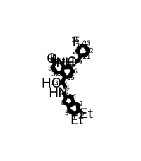 CCc1cc2c(cc1CC)CC(NC[C@H](O)c1ccc(OCc3cccc(F)c3)c3[nH]c(=O)ccc13)C2